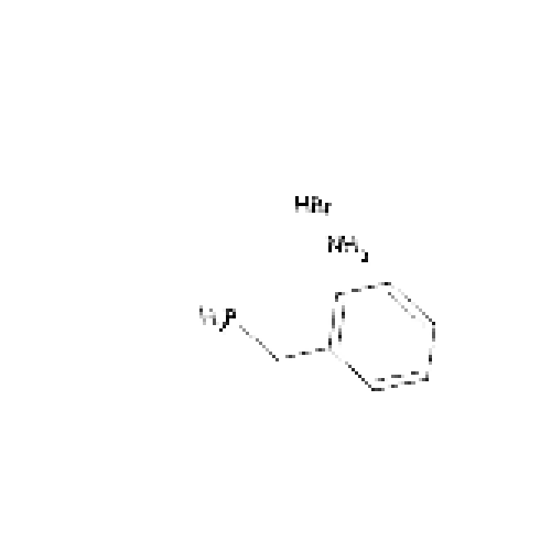 Br.N.PCc1ccccc1